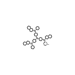 CC1C=CC=C(N(c2ccc(N(c3ccc(N(c4ccccc4)c4ccc5ccccc5c4)cc3)c3ccc(N(c4ccccc4)c4ccc5ccccc5c4)cc3)cc2)c2ccc3ccccc3c2)C1